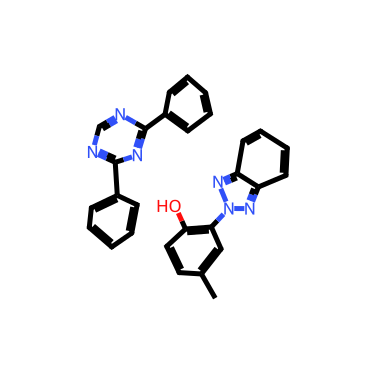 Cc1ccc(O)c(-n2nc3ccccc3n2)c1.c1ccc(-c2ncnc(-c3ccccc3)n2)cc1